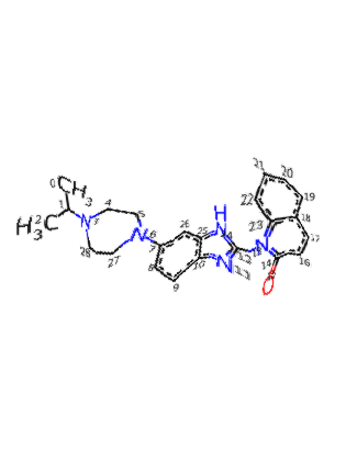 CC(C)N1CCN(c2ccc3nc(-n4c(=O)ccc5ccccc54)[nH]c3c2)CC1